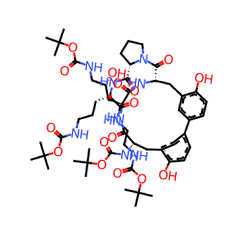 CC(C)(C)OC(=O)NCCC[C@H](NC(=O)[C@@H]1CCCN1C(=O)[C@@H]1Cc2cc(ccc2O)-c2ccc(O)c(c2)C[C@H](NC(=O)OC(C)(C)C)C(=O)N[C@@H](C[C@@H](O)CNC(=O)OC(C)(C)C)C(=O)N1)C(=O)NCCNC(=O)OC(C)(C)C